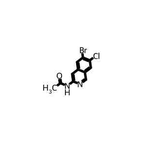 CC(=O)Nc1cc2cc(Br)c(Cl)cc2cn1